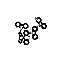 c1ccc2c(c1)Oc1c(-n3c4ccccc4c4cc(-n5c6ccccc6c6ccncc65)ccc43)cccc1C21c2cccnc2-c2ncc(-n3c4ccccc4c4ccccc43)cc21